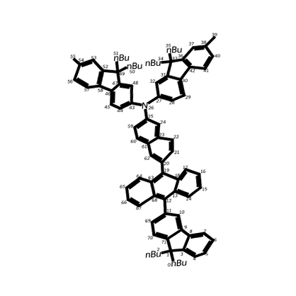 CCCCC1(CCCC)c2ccccc2-c2cc(-c3c4ccccc4c(-c4ccc5cc(N(c6ccc7c(c6)C(CCCC)(CCCC)c6cc(C)ccc6-7)c6ccc7c(c6)C(CCCC)(CCCC)c6cc(C)ccc6-7)ccc5c4)c4ccccc34)ccc21